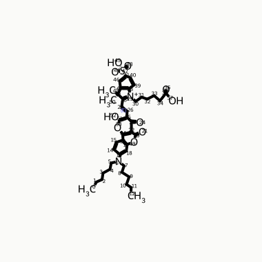 CCCCCCN(CCCCCC)c1ccc2c(c1)oc(=O)c1c(=O)c(/C=C/C3=[N+](CCCCCC(=O)O)c4ccc(S(=O)(=O)O)cc4C3(C)C)c(O)oc12